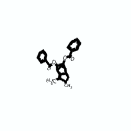 CC1CC2C3CC(C(OC(=O)c4ccccc4)C3OC(=O)c3ccccc3)C2C1C